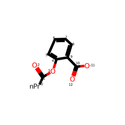 CCCC(=O)Oc1ccccc1C([O])=O